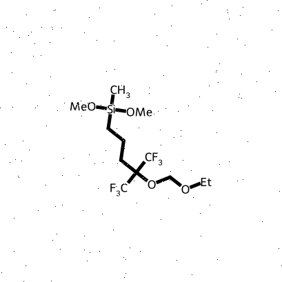 CCOCOC(CCC[Si](C)(OC)OC)(C(F)(F)F)C(F)(F)F